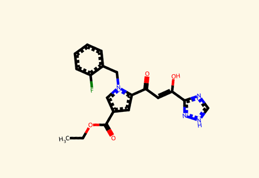 CCOC(=O)c1cc(C(=O)C=C(O)c2nc[nH]n2)n(Cc2ccccc2F)c1